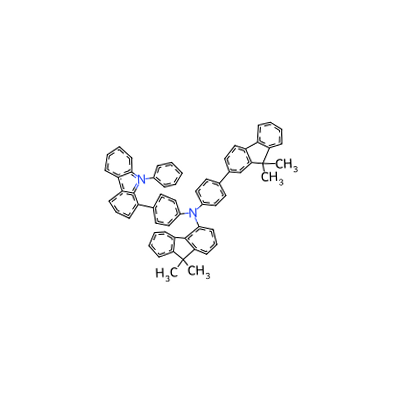 CC1(C)c2ccccc2-c2ccc(-c3ccc(N(c4ccc(-c5cccc6c7ccccc7n(-c7ccccc7)c56)cc4)c4cccc5c4-c4ccccc4C5(C)C)cc3)cc21